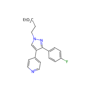 CCOC(=O)CCn1cc(-c2ccncc2)c(-c2ccc(F)cc2)n1